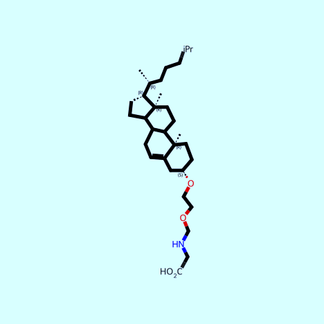 CC(C)CCC[C@@H](C)[C@H]1CCC2C3CC=C4C[C@@H](OCCOCNCC(=O)O)CC[C@]4(C)C3CC[C@@]21C